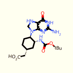 CC(C)(C)OC(=O)N[C@@H]1C[C@H](CC(=O)O)CC[C@H]1N1CNc2c1nc(N)[nH]c2=O